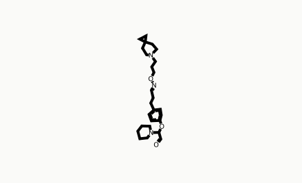 O=CC(Oc1ccc(CCC=NOCCCN2CCC3(CC2)CC3)cc1)N1CCCCC1